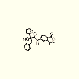 Cc1noc(=O)c2ccc(NC(=O)C(O)(Cc3ccccc3)c3ccco3)cc12